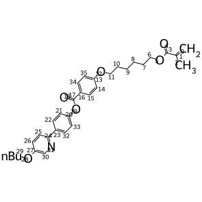 C=C(C)C(=O)OCCCCCCOc1ccc(C(=O)Oc2ccc(-c3ccc(OCCCC)cn3)cc2)cc1